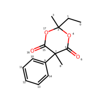 CCC1(C)OC(=O)C(C)(c2ccccc2)C(=O)O1